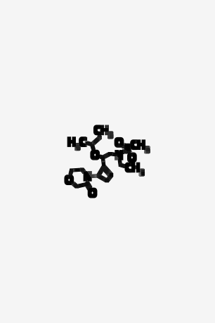 CCC(C)OC(CN(CC)S(C)(=O)=O)C1=CCC1N1CCOCC1=O